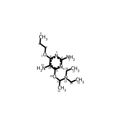 CCCOc1nc(N)nc(OC(C)N(CC)CC)c1N